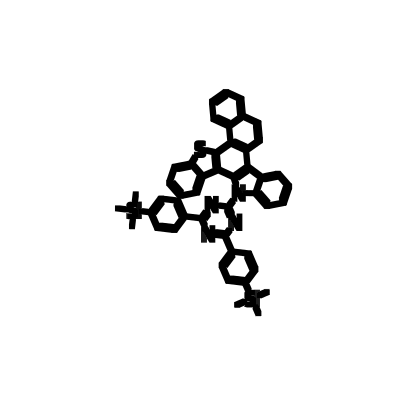 C[Si](C)(C)c1ccc(-c2nc(-c3ccc([Si](C)(C)C)cc3)nc(-n3c4ccccc4c4c5ccc6ccccc6c5c5sc6ccccc6c5c43)n2)cc1